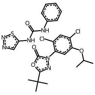 CC(C)Oc1cc(-n2nc(C(C)(C)C)oc2=O)c(Cl)cc1Cl.O=C(Nc1ccccc1)Nc1cnns1